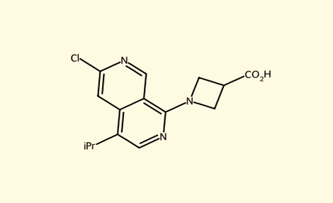 CC(C)c1cnc(N2CC(C(=O)O)C2)c2cnc(Cl)cc12